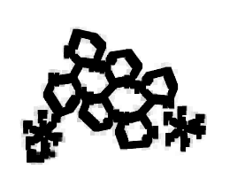 F[P-](F)(F)(F)(F)F.F[P-](F)(F)(F)(F)F.[Ru+2].c1cnc(-c2ncccn2)nc1.c1cnc(-c2ncccn2)nc1.c1cnc(-c2ncccn2)nc1